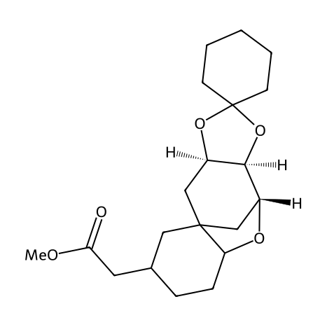 COC(=O)CC1CCC2O[C@@H]3CC2(C1)C[C@H]1OC2(CCCCC2)O[C@@H]31